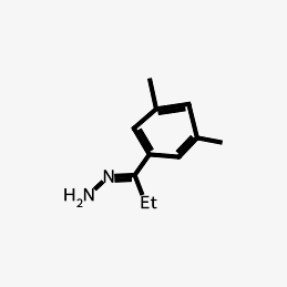 CC/C(=N\N)c1cc(C)cc(C)c1